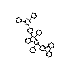 C1=CCCC(c2c(-c3ccc4c5ccccc5c5ccccc5c4c3)nn3c(-c4ccccc4)c(-c4ccc(-c5nc(-c6ccccc6)nc(-c6ccccc6)n5)cc4)c4ccccc4c23)=C1